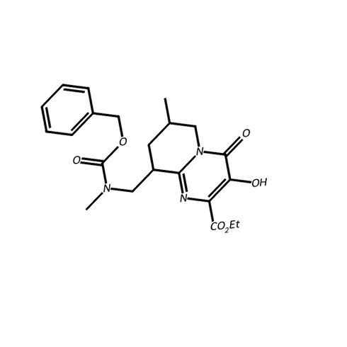 CCOC(=O)c1nc2n(c(=O)c1O)CC(C)CC2CN(C)C(=O)OCc1ccccc1